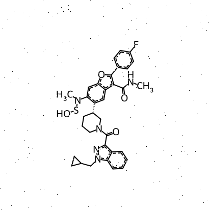 CNC(=O)c1c(-c2ccc(F)cc2)oc2cc(N(C)SO)c([C@H]3CCCN(C(=O)c4nn(CC5CC5)c5ccccc45)C3)cc12